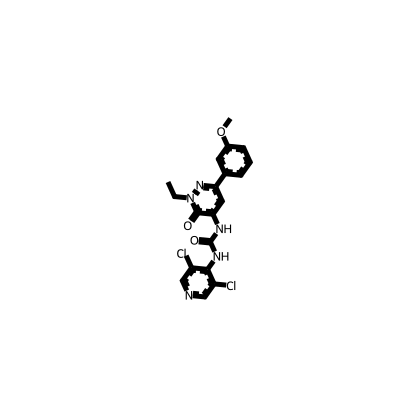 CCn1nc(-c2cccc(OC)c2)cc(NC(=O)Nc2c(Cl)cncc2Cl)c1=O